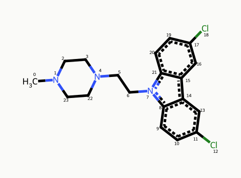 CN1CCN(CCn2c3ccc(Cl)cc3c3cc(Cl)ccc32)CC1